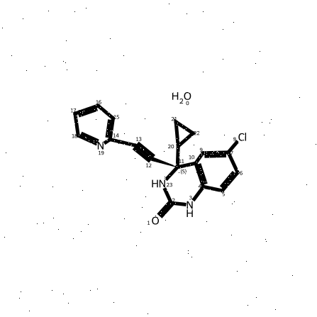 O.O=C1Nc2ccc(Cl)cc2[C@@](C#Cc2ccccn2)(C2CC2)N1